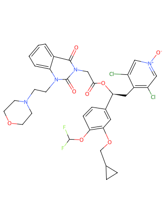 O=C(Cn1c(=O)c2ccccc2n(CCN2CCOCC2)c1=O)O[C@@H](Cc1c(Cl)c[n+]([O-])cc1Cl)c1ccc(OC(F)F)c(OCC2CC2)c1